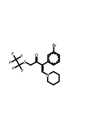 O=C(CSC(F)(F)C(F)(F)F)/C(=C/N1CCCCC1)c1cccc(Br)c1